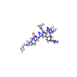 C[C@@H](NCC1CCC1)c1ccc2cn(-c3cc(-c4ccc(C#N)cc4-c4nncn4C)cc(C4CC4)n3)c(=O)n2c1